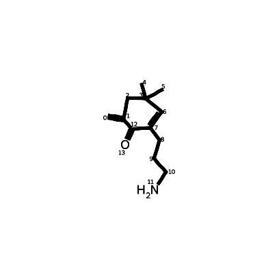 C=C1CC(C)(C)C=C(CCCN)C1=O